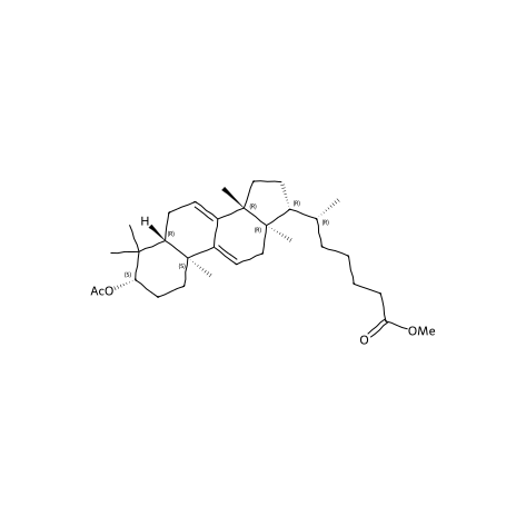 COC(=O)CCCC[C@@H](C)[C@H]1CC[C@@]2(C)C3=CC[C@H]4C(C)(C)[C@@H](OC(C)=O)CC[C@]4(C)C3=CC[C@]12C